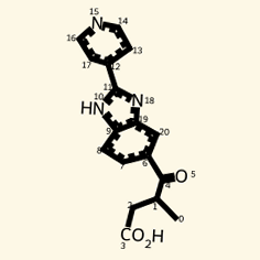 CC(CC(=O)O)C(=O)c1ccc2[nH]c(-c3ccncc3)nc2c1